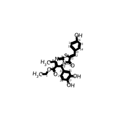 CCOC(=O)C1=C(C)N=c2s/c(=C\c3ccc(O)cc3)c(=O)n2C1c1ccc(O)c(O)c1